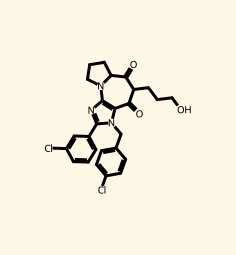 O=C1c2c(nc(-c3cccc(Cl)c3)n2Cc2ccc(Cl)cc2)N2CCCC2C(=O)C1CCCO